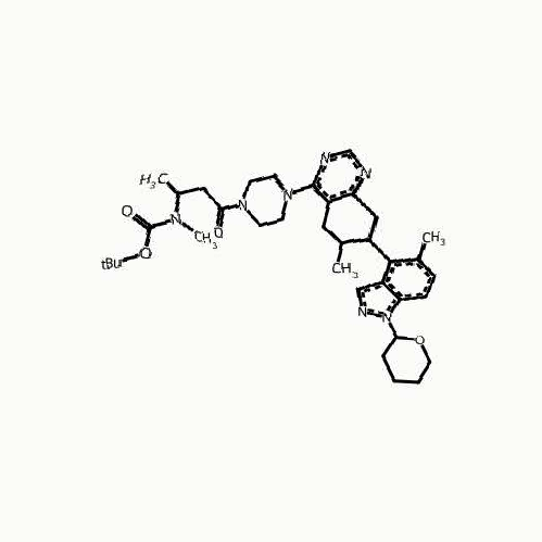 Cc1ccc2c(cnn2C2CCCCO2)c1C1Cc2ncnc(N3CCN(C(=O)CC(C)N(C)C(=O)OC(C)(C)C)CC3)c2CC1C